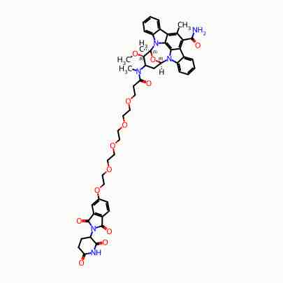 CO[C@@H]1C(N(C)C(=O)CCOCCOCCOCCOCCOc2ccc3c(c2)C(=O)N(C2CCC(=O)NC2=O)C3=O)C[C@H]2O[C@]1(C)n1c3ccccc3c3c(C)c(C(N)=O)c4c5ccccc5n2c4c31